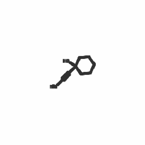 CCCCC#CC1(O)CCCCC1